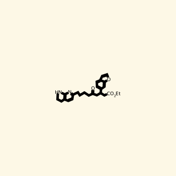 CCOC(=O)CC(CC(=O)CCCCc1ccc2c(n1)NCCC2)c1ccc2ccoc2c1